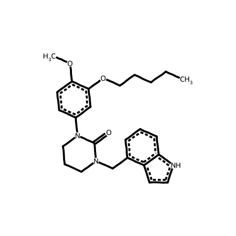 CCCCCOc1cc(N2CCCN(Cc3cccc4[nH]ccc34)C2=O)ccc1OC